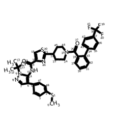 CSc1ccc(-c2cnn(C(C)(C)C)c2NC(=O)c2csc(C3CCN(C(=O)c4ccccc4-c4ccc(C(F)(F)F)cc4)CC3)n2)cc1